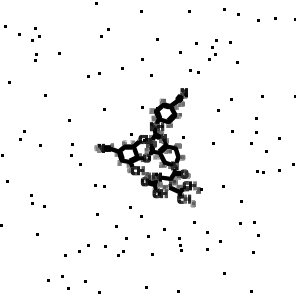 Cc1cc(C#N)cc(C)c1Oc1nc(Nc2ccc(C#N)cc2)nc2c1CN(C(=O)[C@H](CC(C)C)NC(=O)O)CC2